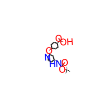 CC(C)(C)OC(=O)NCc1ccnc(Oc2ccc(C(=O)O)cc2)c1